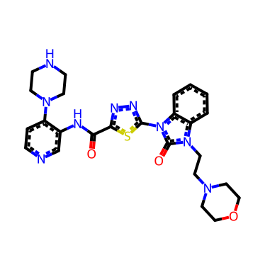 O=C(Nc1cnccc1N1CCNCC1)c1nnc(-n2c(=O)n(CCN3CCOCC3)c3ccccc32)s1